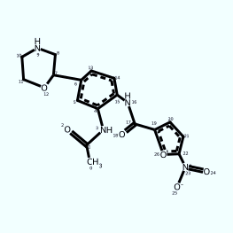 CC(=O)Nc1cc(C2CNCCO2)ccc1NC(=O)c1ccc([N+](=O)[O-])o1